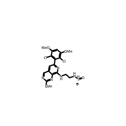 COc1cc(OC)c(Cl)c(-c2cc3cnc(SC)nc3c(NCCN[SH](=O)=O)n2)c1Cl